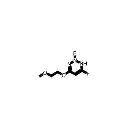 COCCOC1=NN(F)NC(F)=C1